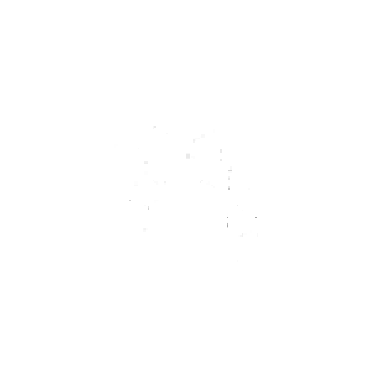 CC(C(=O)Nc1ccc(Oc2ccc(F)cn2)cn1)[C@H]1CCC(F)(F)[C@@H](c2cc[n+]([O-])cc2)C1